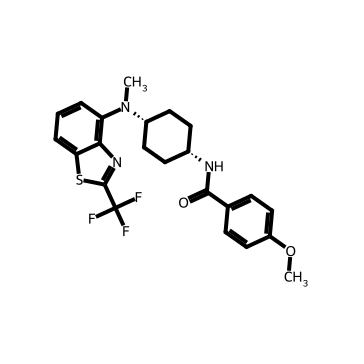 COc1ccc(C(=O)N[C@H]2CC[C@@H](N(C)c3cccc4sc(C(F)(F)F)nc34)CC2)cc1